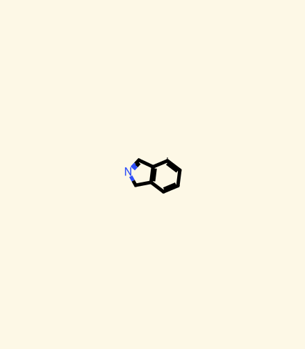 [c]1cccc2c1C=NC2